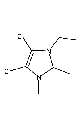 CCN1C(Cl)=C(Cl)N(C)C1C